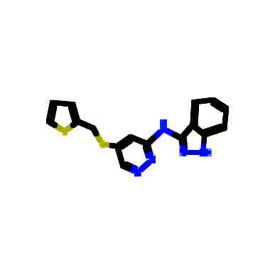 c1csc(CSc2cnnc(Nc3n[nH]c4ccccc34)c2)c1